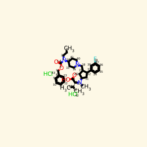 CCCN(C(=O)OCc1ccccc1)C1CCN(CC2CC(N(C)[C@@H](C(=O)O)C(C)C)CC2c2cccc(F)c2)CC1.Cl.Cl